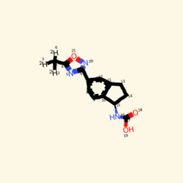 [2H]C([2H])([2H])c1nc(-c2ccc3c(c2)CC[C@H]3NC(=O)O)no1